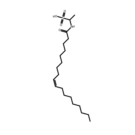 CCCCCCCC/C=C\CCCCCCCC(=O)NC(C)S(=O)(=O)O